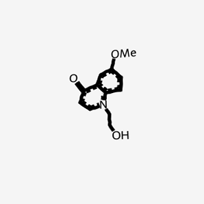 COc1ccc2c(c1)c(=O)ccn2CCO